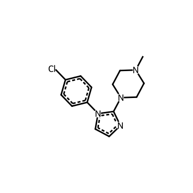 CN1CCN(c2nccn2-c2ccc(Cl)cc2)CC1